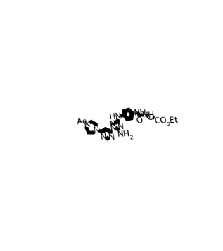 CCOC(=O)CCNC(=O)Nc1ccc(Nc2nc(N)n(-c3cc(N4CCCN(C(C)=O)CC4)ncn3)n2)cc1